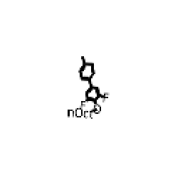 CCCCCCCCOc1c(F)cc(-c2ccc(C)cc2)cc1F